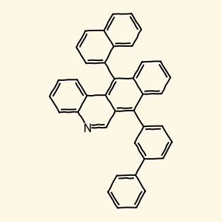 c1ccc(-c2cccc(-c3c4ccccc4c(-c4cccc5ccccc45)c4c3cnc3ccccc34)c2)cc1